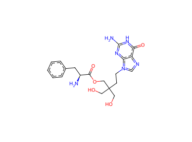 Nc1nc2c(ncn2CCC(CO)(CO)COC(=O)[C@@H](N)Cc2ccccc2)c(=O)[nH]1